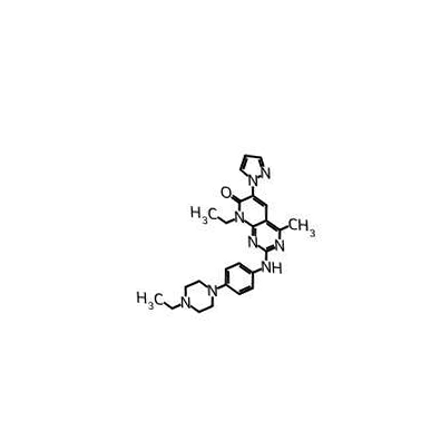 CCN1CCN(c2ccc(Nc3nc(C)c4cc(-n5cccn5)c(=O)n(CC)c4n3)cc2)CC1